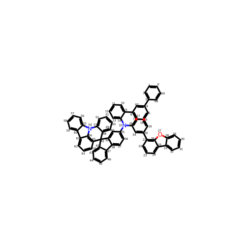 c1ccc(-c2cccc(-c3ccccc3N(c3cccc(-c4cccc5c4oc4ccccc45)c3)c3ccc4c(c3)C3(c5ccccc5-4)c4ccccc4-n4c5ccccc5c5cccc3c54)c2)cc1